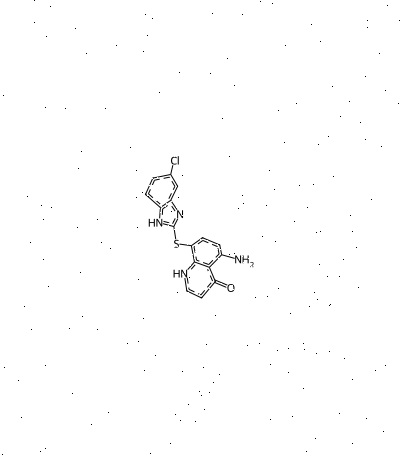 Nc1ccc(Sc2nc3cc(Cl)ccc3[nH]2)c2[nH]ccc(=O)c12